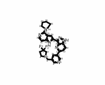 FC1(F)CCN(Cc2cncc(-c3ccc4[nH]nc(-c5cc6c(N7CCCCC7)nccc6[nH]5)c4n3)c2)C1